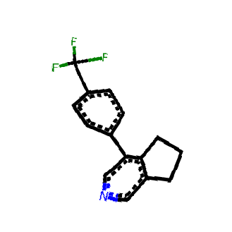 FC(F)(F)c1ccc(-c2cncc3c2CCC3)cc1